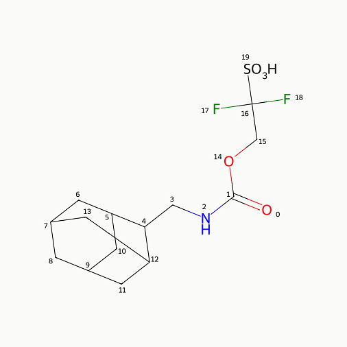 O=C(NCC1C2CC3CC(C2)CC1C3)OCC(F)(F)S(=O)(=O)O